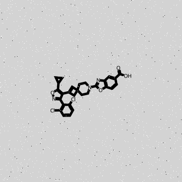 O=C(O)c1ccc2oc(N3CCC4(C=C(c5c(-c6c(Cl)cccc6Cl)noc5C5CC5)C4)CC3)nc2c1